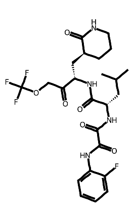 CC(C)C[C@H](NC(=O)C(=O)Nc1ccccc1F)C(=O)N[C@@H](C[C@@H]1CCCNC1=O)C(=O)COC(F)(F)F